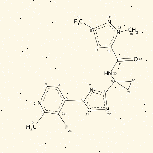 Cc1nccc(-c2nc(C3(NC(=O)c4cc(C(F)(F)F)nn4C)CC3)no2)c1F